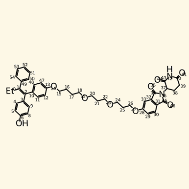 CC/C(=C(\c1ccc(O)cc1)c1ccc(OCCCCOCCCOCCCOc2ccc3c(c2)C(=O)N(C2CCC(=O)NC2=O)C3=O)cc1)c1ccccc1